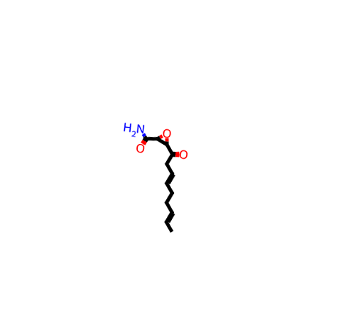 C/C=C/CC/C=C/CC(=O)C1OC1C(N)=O